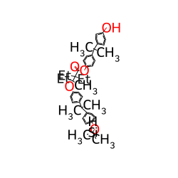 CCC(C)(Oc1ccc(C(C)(C)c2ccc(O[SiH](C)C)cc2)cc1)C(CC)(CC)C(=O)Oc1ccc(C(C)(C)c2ccc(O)cc2)cc1